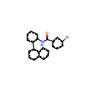 O=C(Nc1ccccc1-c1cccc2ccccc12)c1cccc(Br)c1